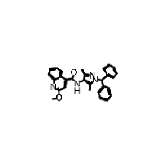 COc1cc(C(=O)Nc2c(C)nn(C(c3ccccc3)c3ccccc3)c2C)c2ccccc2n1